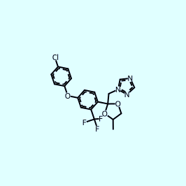 CC1COC(Cn2cncn2)(c2ccc(Oc3ccc(Cl)cc3)cc2C(F)(F)F)O1